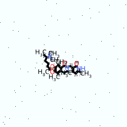 CCC(CCCC1(C)Oc2c(C)c3c(c(C)c2O1)C(=O)N(Cc1c(C)cc(C)[nH]c1=O)CC3)N(C)C